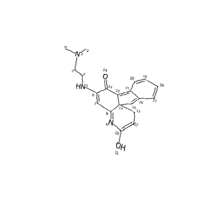 CN(C)CCNC1=CC2=NC(O)=CCC23C=c2ccccc2=C3C1=O